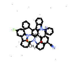 C=Cc1ccccc1N(c1c(-n2c3ccccc3c3cc(F)ccc32)c(-c2ccccc2)c2c3ccccc3n(-c3ccccc3)c2c1-c1ccc(C#N)cc1C#N)C(C)F